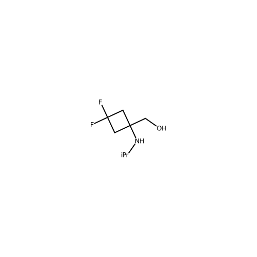 CC(C)NC1(CO)CC(F)(F)C1